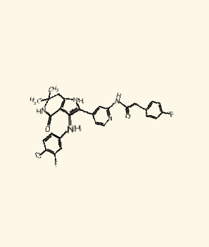 CC1(C)Cc2[nH]c(-c3ccnc(NC(=O)Cc4ccc(F)cc4)c3)c(Nc3ccc(Cl)c(F)c3)c2C(=O)N1